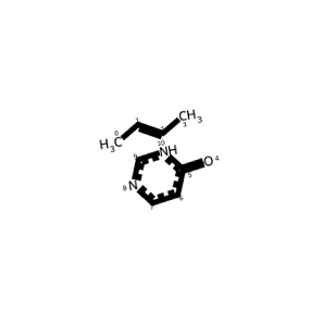 C/C=C/C.O=c1ccnc[nH]1